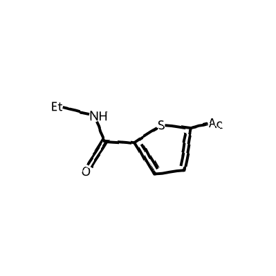 [CH2]CNC(=O)c1ccc(C(C)=O)s1